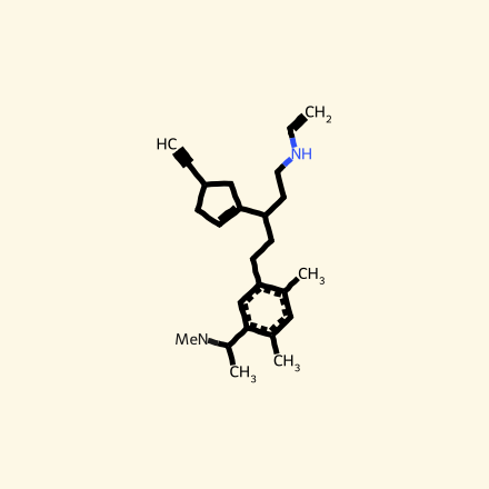 C#CC1CC=C(C(CCNC=C)CCc2cc(C(C)NC)c(C)cc2C)C1